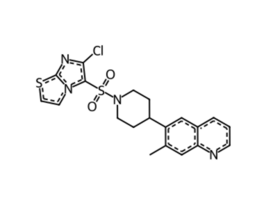 Cc1cc2ncccc2cc1C1CCN(S(=O)(=O)c2c(Cl)nc3sccn23)CC1